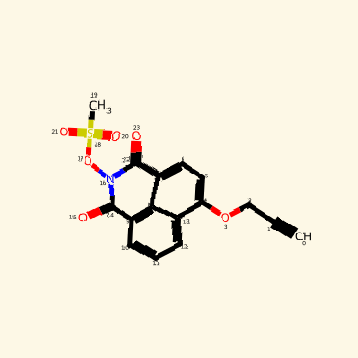 C#CCOc1ccc2c3c(cccc13)C(=O)N(OS(C)(=O)=O)C2=O